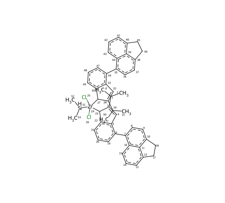 CC(C)C1=Cc2c(-c3ccc4c5c(cccc35)CC4)cccc2[CH]1[Zr]([Cl])([Cl])([CH]1C(C(C)C)=Cc2c(-c3ccc4c5c(cccc35)CC4)cccc21)[SiH](C)C